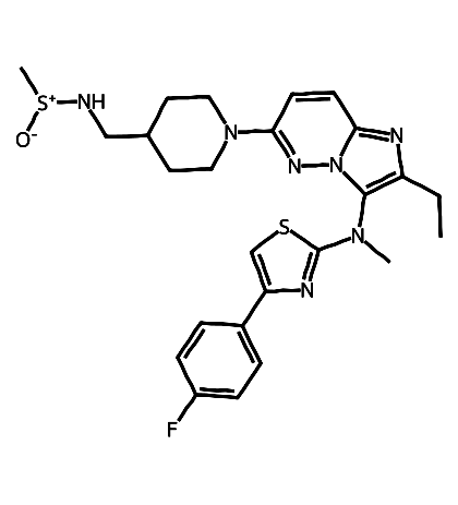 CCc1nc2ccc(N3CCC(CN[S+](C)[O-])CC3)nn2c1N(C)c1nc(-c2ccc(F)cc2)cs1